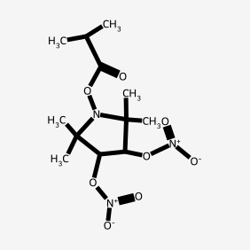 CC(C)C(=O)ON1C(C)(C)C(O[N+](=O)[O-])C(O[N+](=O)[O-])C1(C)C